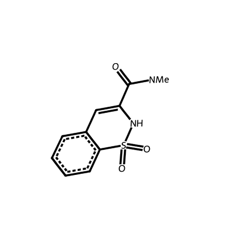 CNC(=O)C1=Cc2ccccc2S(=O)(=O)N1